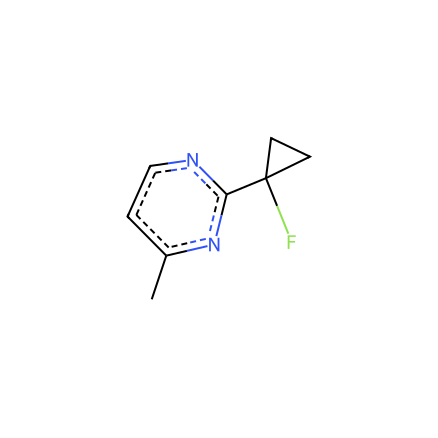 Cc1ccnc(C2(F)CC2)n1